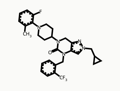 Cc1cccc(F)c1N1CCC(N2Cc3nn(CC4CC4)cc3N(Cc3ccccc3C(F)(F)F)C2=O)CC1